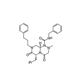 CC(C)C[C@H]1C(=O)N(CCCc2ccccc2)C[C@H]2N1C(=O)CN(C)N2C(=O)NCc1ccccc1